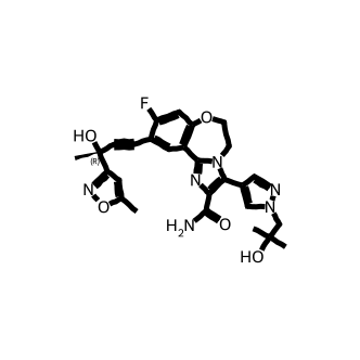 Cc1cc([C@](C)(O)C#Cc2cc3c(cc2F)OCCn2c-3nc(C(N)=O)c2-c2cnn(CC(C)(C)O)c2)no1